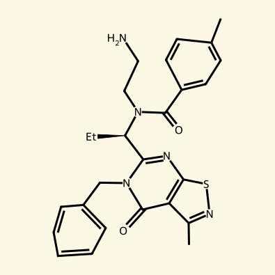 CC[C@H](c1nc2snc(C)c2c(=O)n1Cc1ccccc1)N(CCN)C(=O)c1ccc(C)cc1